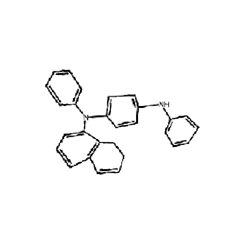 C1=Cc2cccc(N(c3ccccc3)c3ccc(Nc4ccccc4)cc3)c2CC1